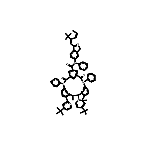 C/C=C\C(=C/C1=NCc2cc(N(C(=O)c3cc4cc(c3)C(=O)N(c3ccccc3)c3ccc5c(c3)C(C(C)c3cc(ccc3-c3cc(C(C)(C)C)ccn3)N(c3ccccc3)C4=O)N3C=CC(C(C)(C)C)=CC53C)c3ccccc3)ccc21)C(C)(C)C